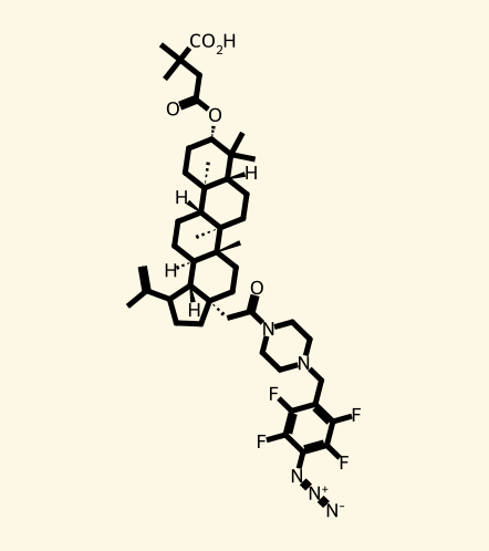 C=C(C)C1CC[C@]2(CC(=O)N3CCN(Cc4c(F)c(F)c(N=[N+]=[N-])c(F)c4F)CC3)CC[C@]3(C)[C@H](CC[C@@H]4[C@@]5(C)CC[C@H](OC(=O)CC(C)(C)C(=O)O)C(C)(C)[C@@H]5CC[C@]43C)[C@@H]12